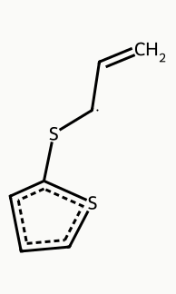 C=C[CH]Sc1cccs1